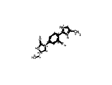 Cc1c[nH]c(-c2ccc(N3C[C@H](CO)OC3=O)cc2F)n1